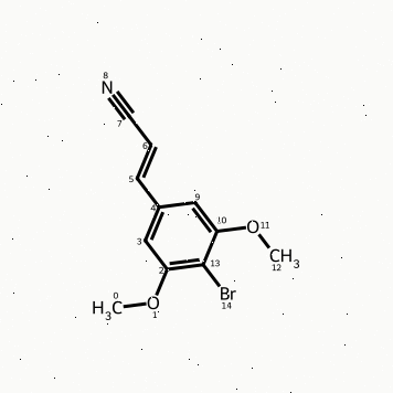 COc1cc(/C=C/C#N)cc(OC)c1Br